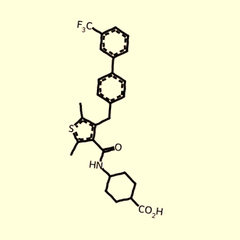 Cc1sc(C)c(C(=O)NC2CCC(C(=O)O)CC2)c1Cc1ccc(-c2cccc(C(F)(F)F)c2)cc1